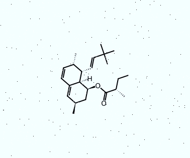 CC[C@H](C)C(=O)O[C@H]1C[C@@H](C)C=C2C=C[C@H](C)[C@H](/C=C/C(C)(C)C)[C@H]21